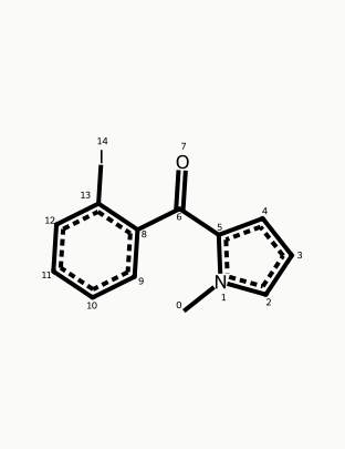 Cn1cccc1C(=O)c1ccccc1I